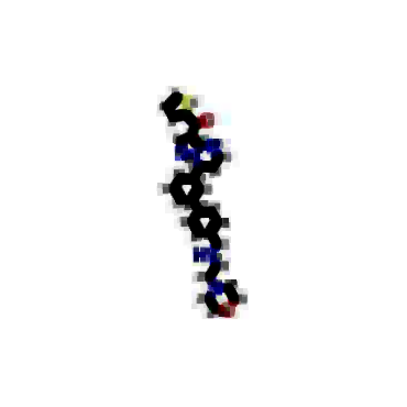 O=C(c1cccs1)c1cnn2c(-c3cccc(-c4ccc(CNCCN5CCOCC5)cc4)c3)ccnc12